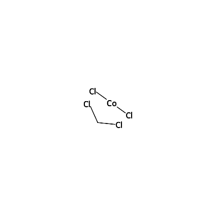 ClCCl.[Cl][Co][Cl]